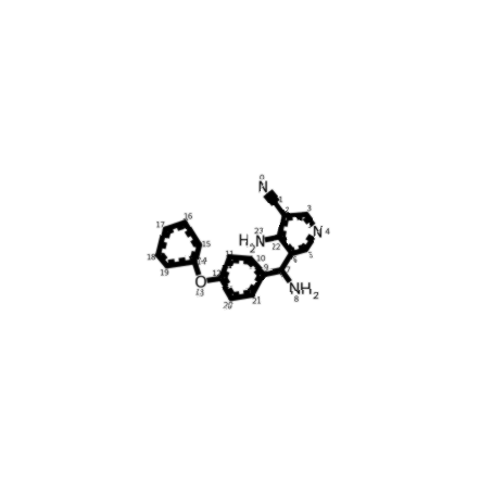 N#Cc1cncc(C(N)c2ccc(Oc3ccccc3)cc2)c1N